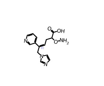 NOC(C/C=C(/Cn1ccnc1)c1cccnc1)C(=O)O